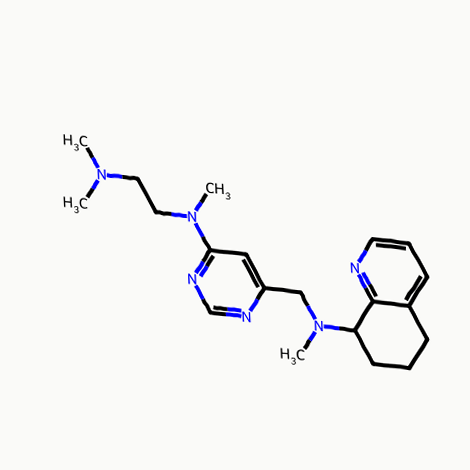 CN(C)CCN(C)c1cc(CN(C)C2CCCc3cccnc32)ncn1